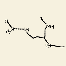 CNC(CN[SiH2]Cl)NC